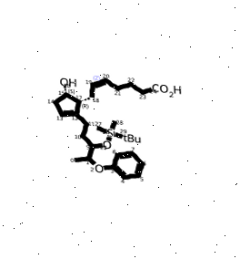 CC(Oc1ccccc1)C(CCC1=CC[C@H](O)[C@@H]1C/C=C\CCCC(=O)O)O[Si](C)(C)C(C)(C)C